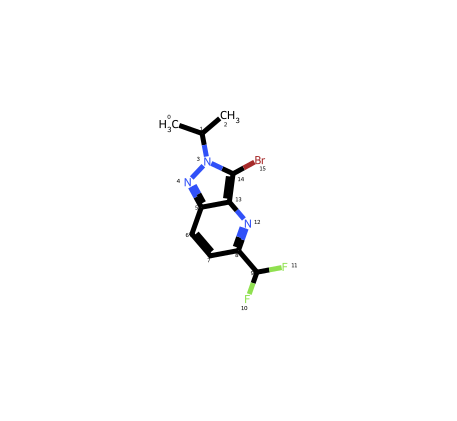 CC(C)n1nc2ccc(C(F)F)nc2c1Br